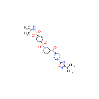 CC(C)NS(=O)(=O)c1ccc(S(=O)(=O)N2CCC[C@@H](C(=O)N3CCN(c4nc(C(C)C)no4)CC3)C2)cc1